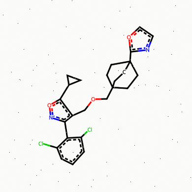 Clc1cccc(Cl)c1-c1noc(C2CC2)c1COCC12CCC(c3ncco3)(CC1)CC2